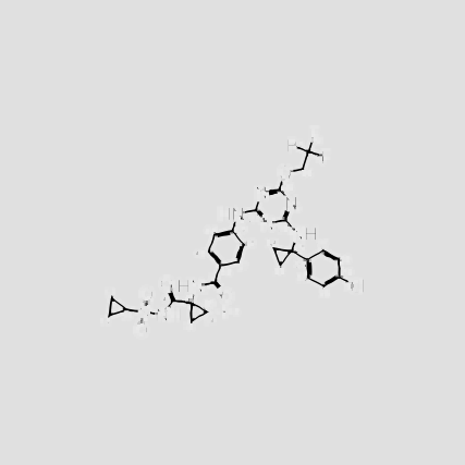 O=C(N[C@]1(C(=O)NS(=O)(=O)C2CC2)C[C@H]1I)c1ccc(Nc2nc(NC3(c4ccc(Cl)cc4)CC3)nc(OCC(F)(F)F)n2)cc1